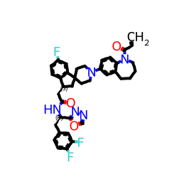 C=CC(=O)N1CCCCc2cc(N3CCC4(CC3)C[C@@H](CC(=O)N[C@H](Cc3ccc(F)c(F)c3)c3nnco3)c3ccc(F)cc34)ccc21